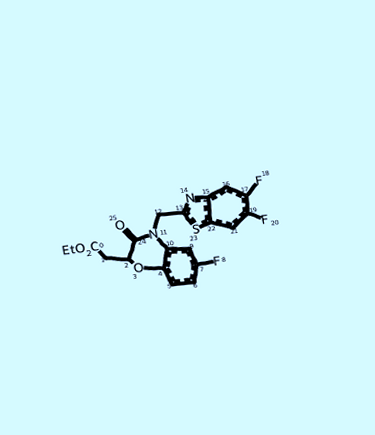 CCOC(=O)CC1Oc2ccc(F)cc2N(Cc2nc3cc(F)c(F)cc3s2)C1=O